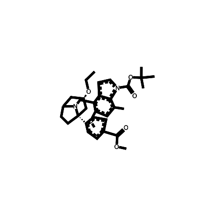 CCO[C@H]1CC2CC[C@](c3ccc(C(=O)OC)cc3)(C1)N2Cc1c(OC)cc(C)c2c1ccn2C(=O)OC(C)(C)C